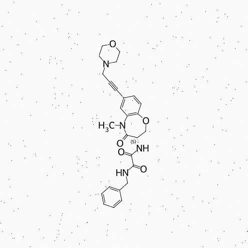 CN1C(=O)[C@@H](NC(=O)C(=O)NCc2ccccc2)COc2ccc(C#CCN3CCOCC3)cc21